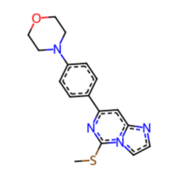 CSc1nc(-c2ccc(N3CCOCC3)cc2)cc2nccn12